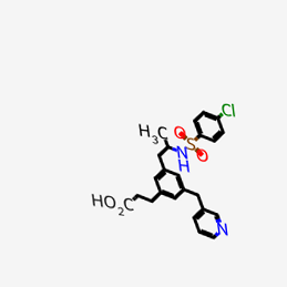 CC(Cc1cc(CCC(=O)O)cc(Cc2cccnc2)c1)NS(=O)(=O)c1ccc(Cl)cc1